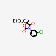 CCOC(=O)C1(C)OC(=O)N(c2cccc(Cl)c2)C1=O